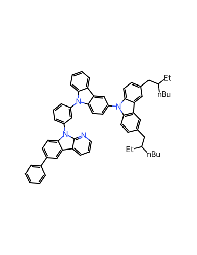 CCCCC(CC)Cc1ccc2c(c1)c1cc(CC(CC)CCCC)ccc1n2-c1ccc2c(c1)c1ccccc1n2-c1cccc(-n2c3ccc(-c4ccccc4)cc3c3cccnc32)c1